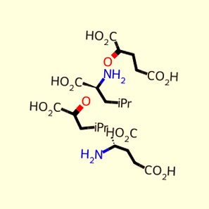 CC(C)CC(=O)C(=O)O.CC(C)C[C@H](N)C(=O)O.N[C@@H](CCC(=O)O)C(=O)O.O=C(O)CCC(=O)C(=O)O